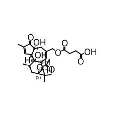 CC(=O)O[C@@]12C[C@@H](C)[C@@]3(O)[C@@H](C=C(COC(=O)CCC(=O)O)C[C@]4(O)C(=O)C(C)=C[C@@H]34)[C@H]1C2(C)C